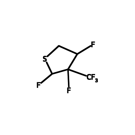 FC1CSC(F)C1(F)C(F)(F)F